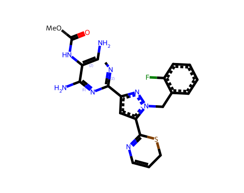 C\N=C(/N=C(N)\C(=C\N)NC(=O)OC)c1cc(C2=NC=CCS2)n(Cc2ccccc2F)n1